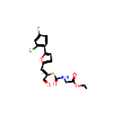 CCOC(=O)CNC(=O)S/C(C=O)=C\c1ccc(-c2ccc(Cl)cc2Cl)o1